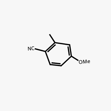 COc1ccc(C#N)c(C)c1